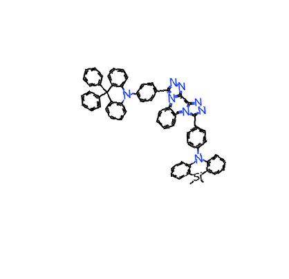 C[Si]1(C)c2ccccc2N(c2ccc(-c3nnc4c5nnc(-c6ccc(N7c8ccccc8C(c8ccccc8)(c8ccccc8)c8ccccc87)cc6)n5c5ccccc5n34)cc2)c2ccccc21